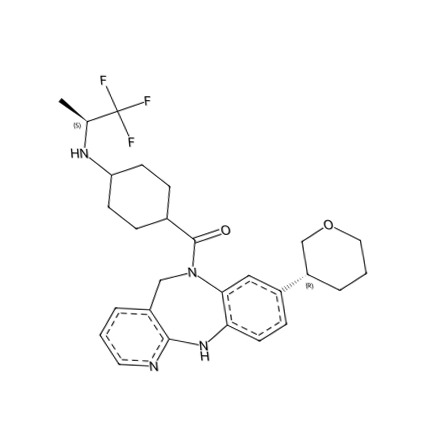 C[C@H](NC1CCC(C(=O)N2Cc3cccnc3Nc3ccc([C@H]4CCCOC4)cc32)CC1)C(F)(F)F